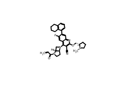 C=CC(=O)N1CCC2[C@H]1CN2c1c(C#N)c(OC[C@@H]2CCCN2C)nc2cc(-c3cccc4c3CCCC4)c(F)cc12